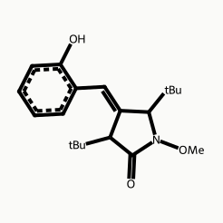 CON1C(=O)C(C(C)(C)C)/C(=C\c2ccccc2O)C1C(C)(C)C